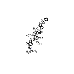 CO[C@H]1[C@@H](OP(=O)(OCCC#N)OC[C@]23C[C@@H]2[C@@H](n2cnc4c(NC(=O)c5ccccc5)ncnc42)[C@H](C)[C@@H]3O)[C@H](c2scc3c(=O)[nH]c(/N=C/N(C)C)nc23)O[C@@H]1CO